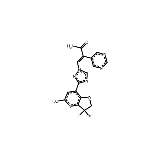 NC(=O)/C(=C/n1cnc(-c2cc(C(F)(F)F)nc3c2OCC3(F)F)n1)c1cncnc1